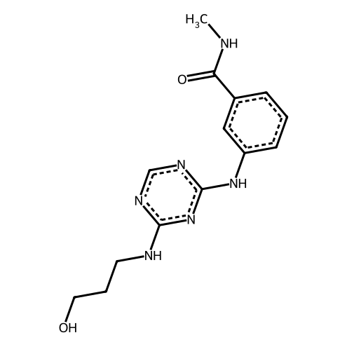 CNC(=O)c1cccc(Nc2ncnc(NCCCO)n2)c1